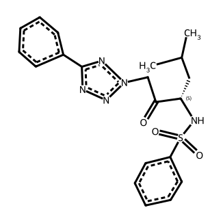 CC(C)C[C@H](NS(=O)(=O)c1ccccc1)C(=O)Cn1nnc(-c2ccccc2)n1